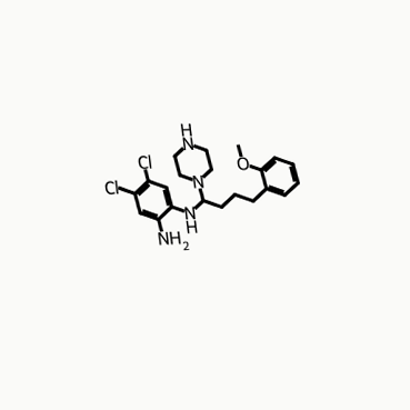 COc1ccccc1CCCC(Nc1cc(Cl)c(Cl)cc1N)N1CCNCC1